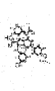 CC(C)Oc1ccc(-c2ccc3c(-c4ccccc4OC(C)C)c(C(=O)O)n(Cc4cccc(Cl)c4)c3c2)cc1